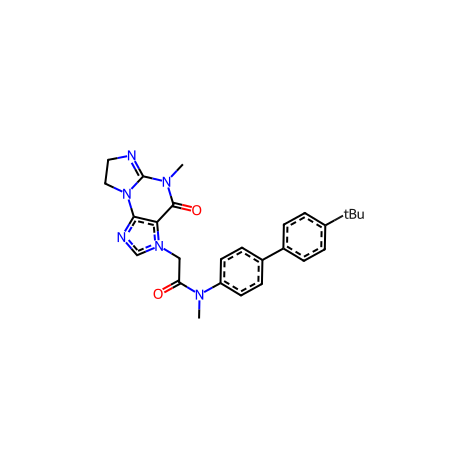 CN1C(=O)c2c(ncn2CC(=O)N(C)c2ccc(-c3ccc(C(C)(C)C)cc3)cc2)N2CCN=C12